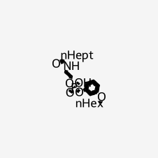 CCCCCCCC(=O)NCCOP(=O)(O)Oc1cccc(OCCCCCC)c1